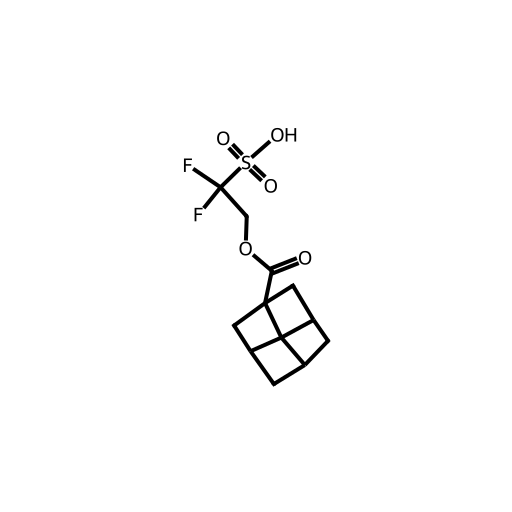 O=C(OCC(F)(F)S(=O)(=O)O)C12CC3CC4CC(C1)C432